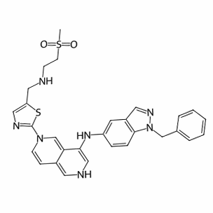 CS(=O)(=O)CCNCc1cnc(N2C=CC3=CNC=C(Nc4ccc5c(cnn5Cc5ccccc5)c4)C3=C2)s1